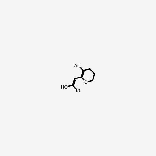 CC/C(O)=C\C1=C(C(C)=O)CCCO1